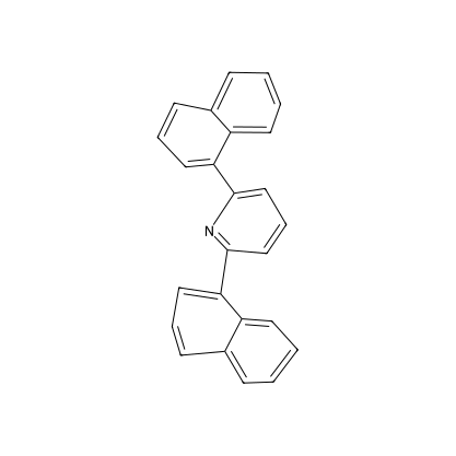 c1cc(-c2cccc3ccccc23)nc(-c2cccc3ccccc23)c1